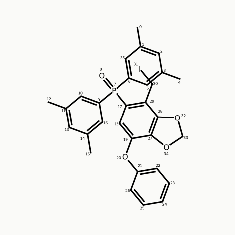 Cc1cc(C)cc(P(=O)(c2cc(C)cc(C)c2)c2cc(Oc3ccccc3)c3c(c2CI)OCO3)c1